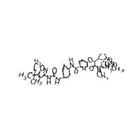 CN(C)C(=O)C(Oc1ccc(C(=O)Nc2ccc(NC(=O)Nc3cc(C(C)(C)C)on3)cc2)nc1)C1CCN(OS(C)(=O)=O)C1